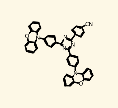 N#Cc1ccc(-c2nc(-c3ccc(N4c5ccccc5Oc5ccccc54)cc3)nc(-c3ccc(N4c5ccccc5Oc5ccccc54)cc3)n2)cc1